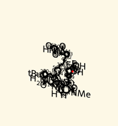 CNC(=O)N1CC[C@H]2CC[C@@H](C(=O)NC(CCC(N)=O)C(=O)NC(Cc3ccc(C(C)(C)C)cc3)C(=O)N3CCC(CCC#Cc4cccc5c4CN(C4CCC(=O)NC4=O)C5=O)CC3)N2C(=O)[C@@H](NC(=O)c2cc3cc(C(F)(F)P(=O)(O)O)ccc3s2)C1